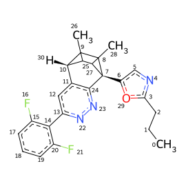 CCCc1ncc([C@@]23CC[C@@H](c4cc(-c5c(F)cccc5F)nnc42)C(C)C3C)o1